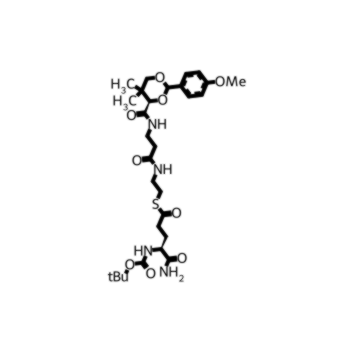 COc1ccc(C2OCC(C)(C)[C@H](C(=O)NCCC(=O)NCCSC(=O)CC[C@H](NC(=O)OC(C)(C)C)C(N)=O)O2)cc1